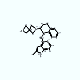 Cc1cc2c(NC3c4ccccc4CCC3N3CC4(COC4)C3)ncnc2[nH]1